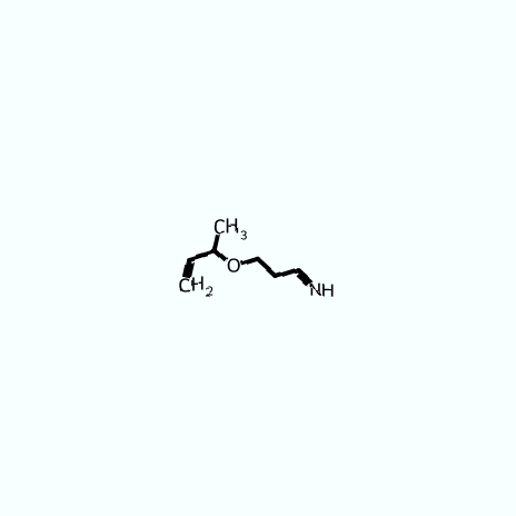 C=CC(C)OCCC=N